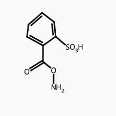 NOC(=O)c1ccccc1S(=O)(=O)O